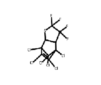 FC1(F)SC2C(C1(F)F)C1(Cl)C(Cl)=C(Cl)C2(Cl)C1(Cl)Cl